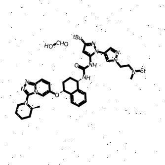 CCN(C)CCn1cc(-n2nc(C(C)(C)C)cc2NC(=O)N[C@H]2CC[C@@H](Oc3ccc4nnc(N5CCCC[C@@H]5C)n4c3)c3ccccc32)cn1.O=CO